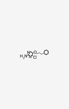 Nc1ncc(OCCCc2ccccc2)c(Cl)n1